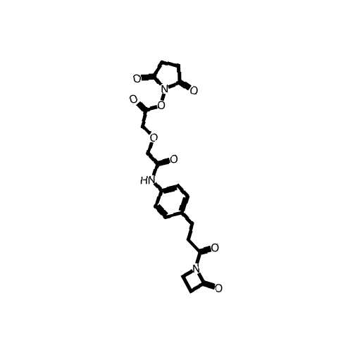 O=C(COCC(=O)ON1C(=O)CCC1=O)Nc1ccc(CCC(=O)N2CCC2=O)cc1